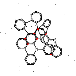 c1ccc(-c2ccccc2N(c2ccc3c(c2)C2(c4ccccc4-c4ccccc4-3)c3ccccc3-c3c2ccc2c3sc3ccccc32)c2ccccc2-c2ccccc2)cc1